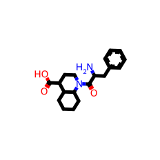 NC(Cc1ccccc1)C(=O)N1CCC(C(=O)O)C2CCCCC21